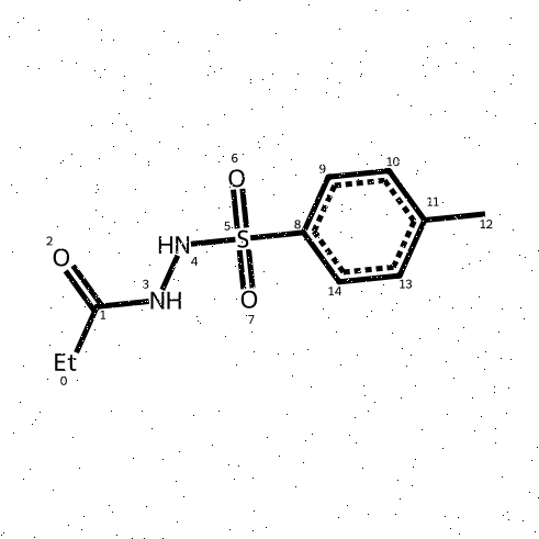 CCC(=O)NNS(=O)(=O)c1ccc(C)cc1